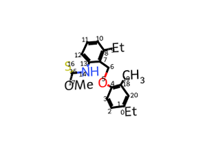 CCc1ccc(OCc2c(CC)cccc2NC(=S)OC)c(C)c1